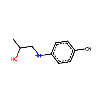 CC(O)CNc1ccc(C#N)cc1